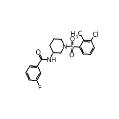 Cc1c(Cl)cccc1S(=O)(=O)N1CCC[C@H](NC(=O)c2cccc(F)c2)C1